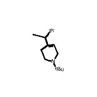 CC(C)C(C)C1=CCN(C(C)(C)C)CC1